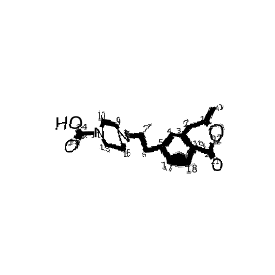 CC1Cc2cc(CCN3CCN(C(=O)O)CC3)ccc2C(=O)O1